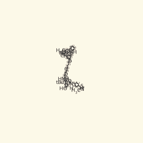 Cc1ncsc1-c1ccc(CNC(=O)[C@@H]2C[C@@H](O)CN2C(=O)C(NC(=O)COCCOCCCCOc2cc(F)c([C@@H]3c4[nH]c5ccccc5c4C[C@@H](C)N3CC(C)(C)F)c(F)c2)C(C)(C)C)cc1